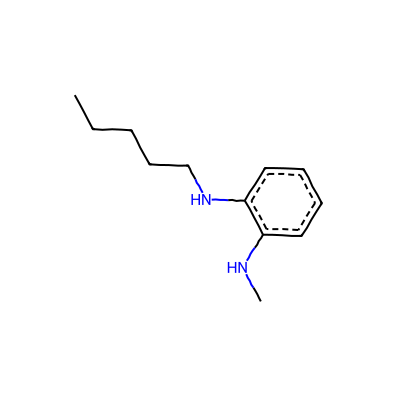 CCCCCNc1ccccc1NC